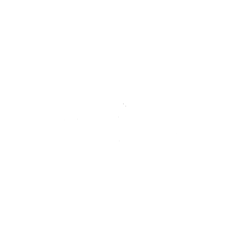 COC(=O)c1cccc(CN(C(=O)OC(C)(C)C)C2CC2c2ccccc2)c1